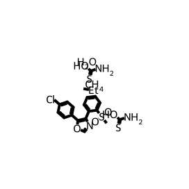 C.CCC.CS(=O)(=O)c1ccccc1-c1ncoc1-c1ccc(Cl)cc1.NC(O)=S.NC(O)=S.O